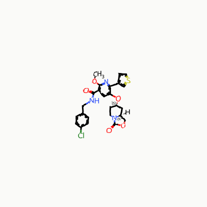 COc1nc(-c2ccsc2)c(O[C@H]2CCN3C(=O)OC[C@@H]3C2)cc1C(=O)NCc1ccc(Cl)cc1